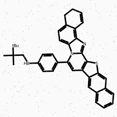 CC(C)(C)C(C)(C)CBc1ccc(-c2cc3c4cc5ccccc5cc4sc3c3nc4c5c(ccc4n23)CCC=C5)cc1